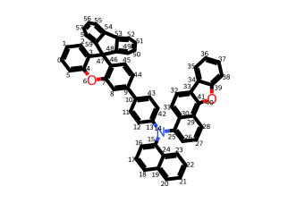 c1ccc2c(c1)Oc1cc(-c3ccc(N(c4cccc5ccccc45)c4cccc5c4ccc4c6ccccc6oc54)cc3)ccc1C21c2ccccc2-c2ccccc21